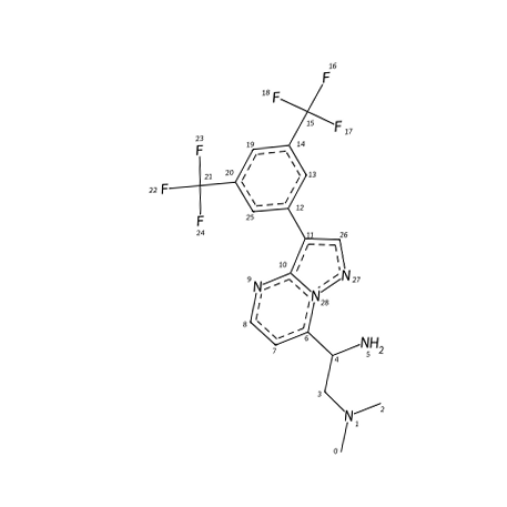 CN(C)CC(N)c1ccnc2c(-c3cc(C(F)(F)F)cc(C(F)(F)F)c3)cnn12